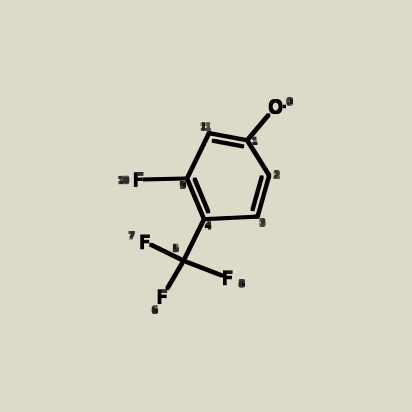 [O]c1ccc(C(F)(F)F)c(F)c1